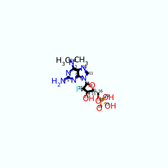 CN(C)c1nc(N)nc2c1ncn2[C@@H]1O[C@H](COP(=O)(O)O)[C@@H](O)[C@H]1F